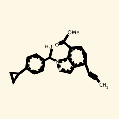 CC#Cc1ccc(C(=O)OC)c2c1cnn2C(C)c1ccc(C2CC2)cc1